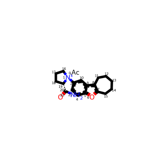 CC(=O)[N+]1(c2ccc3oc4c(c3c2)CCCCC4)CCC[C@H]1C(N)=O